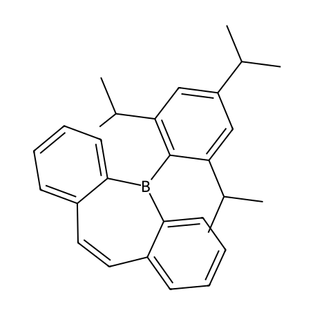 CC(C)c1cc(C(C)C)c(B2c3ccccc3C=Cc3ccccc32)c(C(C)C)c1